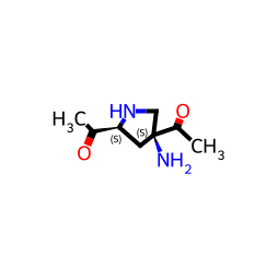 CC(=O)[C@@H]1C[C@@](N)(C(C)=O)CN1